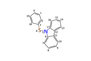 c1ccc(Sn2c3ccccc3c3ccccc32)cc1